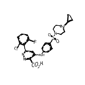 O=C(O)c1nnc(-c2c(F)cccc2Cl)cc1Nc1ccc(S(=O)(=O)N2CCN(C3CC3)CC2)cc1